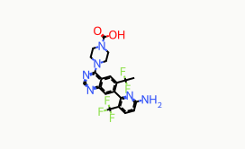 CC(F)(F)c1cc2c(N3CCN(C(=O)O)CC3)ncnc2cc1-c1nc(N)ccc1C(F)(F)F